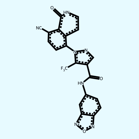 N#Cc1ccc(-n2ncc(C(=O)Nc3ccc4nonc4c3)c2C(F)(F)F)c2cc[nH]c(=O)c12